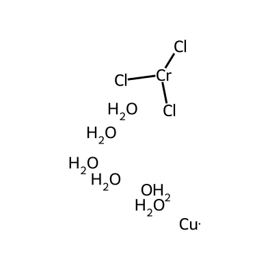 O.O.O.O.O.O.[Cl][Cr]([Cl])[Cl].[Cu]